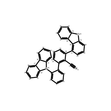 N#Cc1c(-c2ccccc2-n2c3ccccc3c3ccccc32)cccc1-c1cccc2oc3ccccc3c12